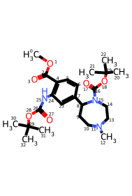 COC(=O)c1ccc(C2CCN(C)CCN2C(=O)OC(C)(C)C)cc1NC(=O)OC(C)(C)C